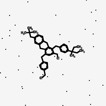 CCC(C)(CC)c1ccc(Cc2c(CCl)cc(Cc3ccc(CCl)cc3)c3c2Cc2ccc(CC(C)(C)C)cc2C3)cc1